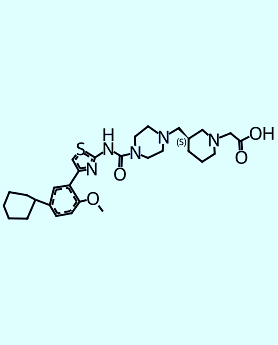 COc1ccc(C2CCCCC2)cc1-c1csc(NC(=O)N2CCN(C[C@@H]3CCCN(CC(=O)O)C3)CC2)n1